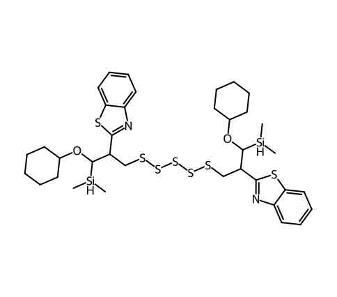 C[SiH](C)C(OC1CCCCC1)C(CSSSSSCC(c1nc2ccccc2s1)C(OC1CCCCC1)[SiH](C)C)c1nc2ccccc2s1